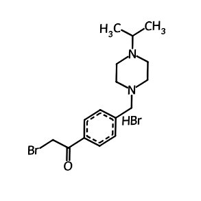 Br.CC(C)N1CCN(Cc2ccc(C(=O)CBr)cc2)CC1